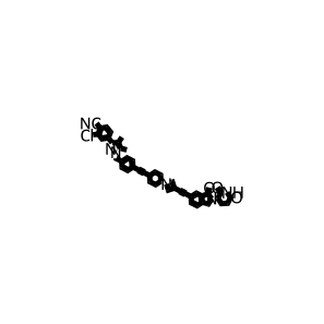 Cc1c(-c2ccc(C#N)c(Cl)c2)nn(Cc2ccc(C#CC3CCC(N4CC(C#Cc5ccc6c(c5)C(=O)N(C5CCC(=O)NC5=O)C6)C4)CC3)cc2)c1C